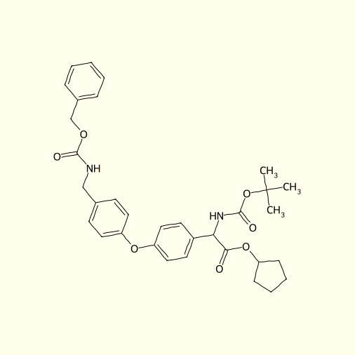 CC(C)(C)OC(=O)NC(C(=O)OC1CCCC1)c1ccc(Oc2ccc(CNC(=O)OCc3ccccc3)cc2)cc1